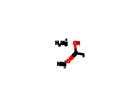 CC(=O)O.[MgH2].[NaH]